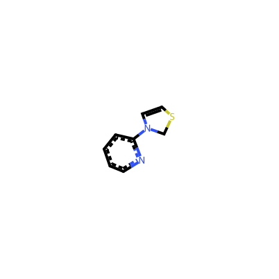 C1=CN(c2ccccn2)CS1